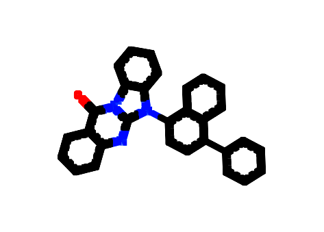 O=c1c2ccccc2nc2n(-c3ccc(-c4ccccc4)c4ccccc34)c3ccccc3n12